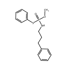 COP(=O)(NCCCc1ccccc1)Sc1ccccc1